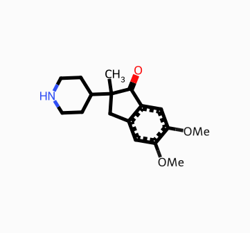 COc1cc2c(cc1OC)C(=O)C(C)(C1CCNCC1)C2